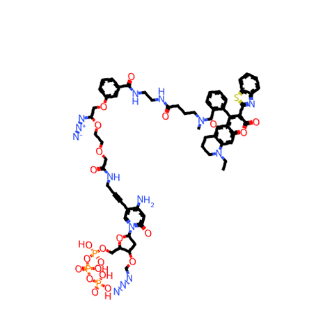 CCN1CCCc2cc3c(-c4ccccc4C(=O)N(C)CCCC(=O)NCCNC(=O)c4cccc(OCC(N=[N+]=[N-])OCCOCC(=O)NCC#Cc5cn(C6CC(OCN=[N+]=[N-])C(COP(=O)(O)OP(=O)(O)OP(=O)(O)O)O6)c(=O)cc5N)c4)c(-c4nc5ccccc5s4)c(=O)oc3cc21